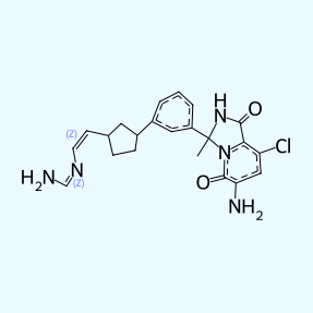 CC1(c2cccc(C3CCC(/C=C\N=C/N)C3)c2)NC(=O)c2c(Cl)cc(N)c(=O)n21